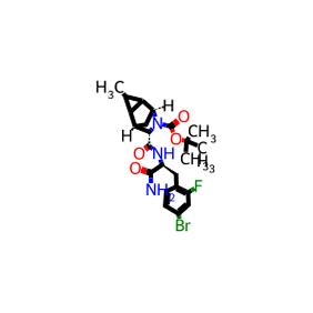 CC1C2C1[C@@H]1C[C@H]2[C@@H](C(=O)N[C@@H](Cc2ccc(Br)cc2F)C(N)=O)N1C(=O)OC(C)(C)C